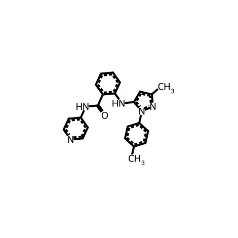 Cc1ccc(-n2nc(C)cc2Nc2ccccc2C(=O)Nc2ccncc2)cc1